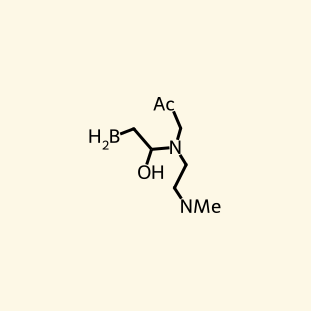 BCC(O)N(CCNC)CC(C)=O